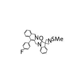 CSN1CC2(C1)C(=O)N(Cc1ncc3ccccc3c1-c1ccc(F)cc1)c1ccccc12